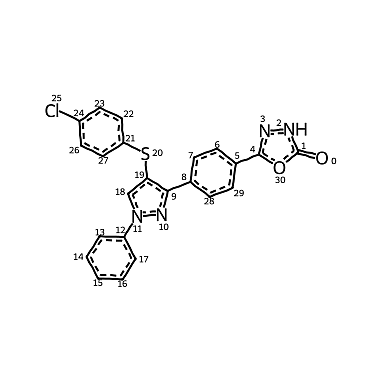 O=c1[nH]nc(-c2ccc(-c3nn(-c4ccccc4)cc3Sc3ccc(Cl)cc3)cc2)o1